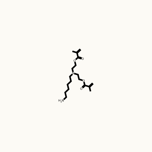 C=C(C)C(=O)OCCN(CCCCCCN)CCOC(=O)C(=C)C